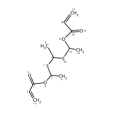 C=CC(=O)OC(C)SC(C)SC(C)OC(=O)C=C